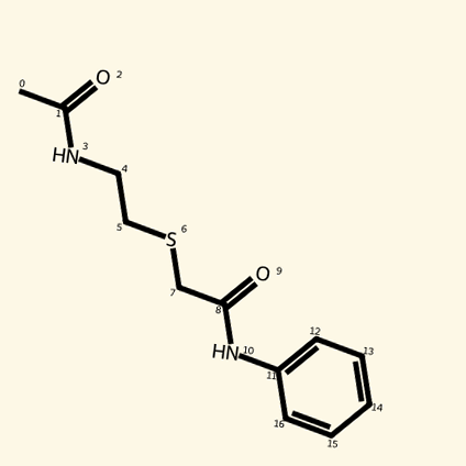 CC(=O)NCCSCC(=O)Nc1ccccc1